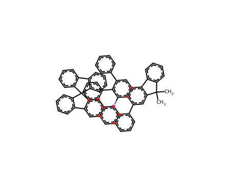 CC1(C)c2ccccc2-c2ccc(-c3ccccc3N(c3ccc4c(c3)C3(c5ccccc5-c5ccccc53)c3ccccc3-4)c3cccc(-c4ccccc4)c3-c3ccccc3-c3ccccc3)cc21